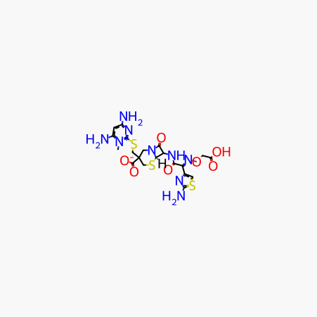 C[n+]1c(N)cc(N)nc1SCC1(C(=O)[O-])CS[C@@H]2C(NC(=O)C(=NOCC(=O)O)c3csc(N)n3)C(=O)N2C1